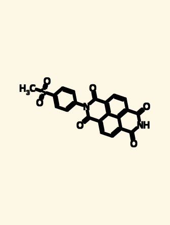 CS(=O)(=O)c1ccc(N2C(=O)c3ccc4c5c(ccc(c35)C2=O)C(=O)NC4=O)cc1